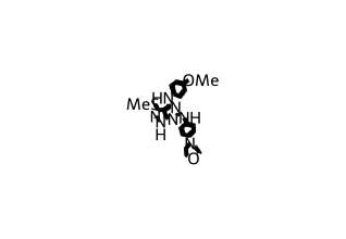 COc1ccc(Nc2nc(Nc3ccc(N4CCOCC4)cc3)nc3[nH]nc(SC)c23)cc1